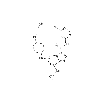 O=C(Nc1ccnc(Cl)c1)c1cnc2c(NC3CC3)cc(NC3CCC(NCCO)CC3)nn12